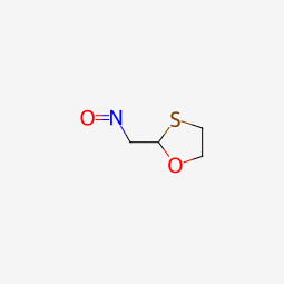 O=NCC1OCCS1